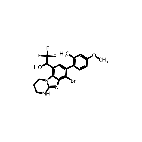 COc1ccc(-c2cc(C(O)C(F)(F)F)c3c(nc4n3CCCN4)c2Br)c(C)c1